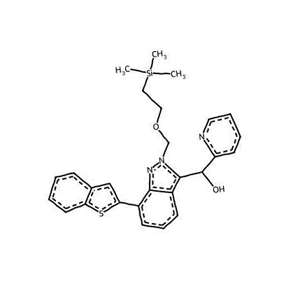 C[Si](C)(C)CCOCn1nc2c(-c3cc4ccccc4s3)cccc2c1C(O)c1ccccn1